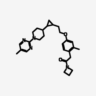 Cc1cnc(N2CCC(C3CC3CCOc3ccc(CC(=O)N4CCC4)c(C)c3)CC2)nc1